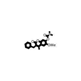 COc1cc2c(C)c(Cc3ccccc3)c(=O)oc2cc1OC(=O)N(C)C